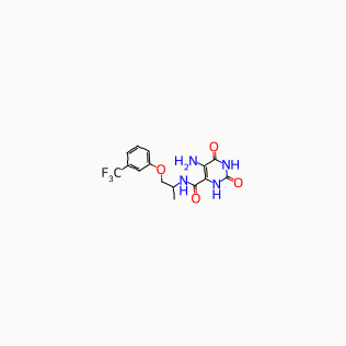 CC(COc1cccc(C(F)(F)F)c1)NC(=O)c1[nH]c(=O)[nH]c(=O)c1N